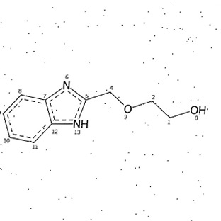 OCCOCc1nc2ccccc2[nH]1